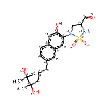 CC(C)(O)C(C)(O)CCCc1ccc2cc(O)c(N3CC(C=O)NS3(=O)=O)cc2c1